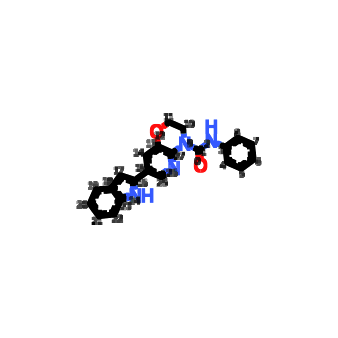 O=C(Nc1ccccc1)N1CCOc2cc(-c3cc4ccccc4[nH]3)cnc21